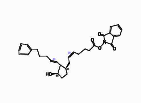 O=C(CCC/C=C\C[C@H]1CC[C@@H](O)C1/C=C/CCCc1ccccc1)ON1C(=O)c2ccccc2C1=O